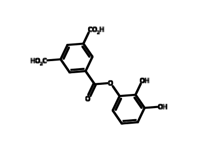 O=C(O)c1cc(C(=O)O)cc(C(=O)Oc2cccc(O)c2O)c1